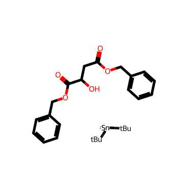 C[C](C)(C)[Sn][C](C)(C)C.O=C(CC(O)C(=O)OCc1ccccc1)OCc1ccccc1